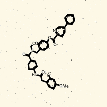 COc1ccc(CC(=O)NC2=CC=C(C(=O)N(CC(=O)O)Cc3ccc(OC(=O)c4ccc(-c5ccccc5)cn4)cc3)CC2)c(C(F)(F)F)c1